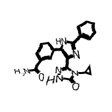 NC(=O)c1cccc(-c2[nH]c(-c3ccccc3)nc2-c2n[nH]c(=O)n2C2CC2)c1